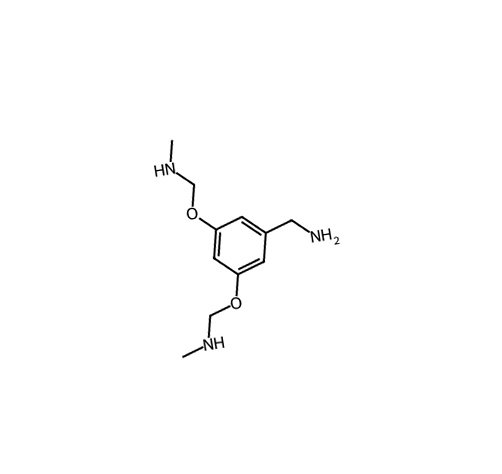 CNCOc1cc(CN)cc(OCNC)c1